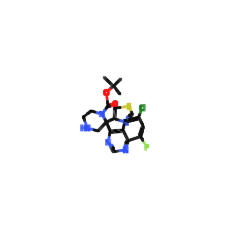 CC(C)(C)OC(=O)N1CCNCC1(c1cscn1)c1ncnc2c(F)cc(Cl)cc12